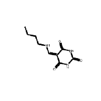 CCCCNC=C1C(=O)NC(=O)NC1=O